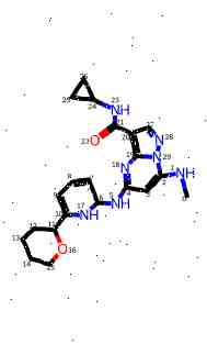 CNc1cc(NC2C=CC=C(C3CCCCO3)N2)nc2c(C(=O)NC3CC3)cnn12